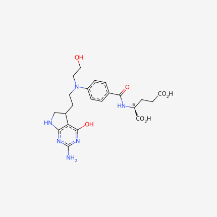 Nc1nc(O)c2c(n1)NCC2CCN(CCO)c1ccc(C(=O)N[C@@H](CCC(=O)O)C(=O)O)cc1